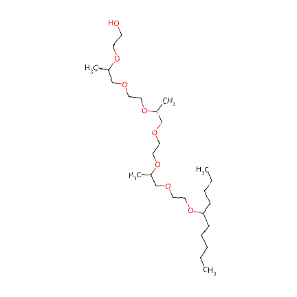 CCCCCC(CCCC)OCCOCC(C)OCCOCC(C)OCCOCC(C)OCCO